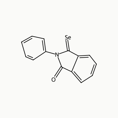 O=C1c2ccccc2C(=[Se])N1c1ccccc1